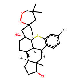 CC(=O)c1ccc2c(c1)S[C@]13CCC4(CC(C)(C)COO4)C[C@]1(O)CC[C@@H]1[C@@H]3[C@@H]2C[C@]2(C)[C@@H](O)CC[C@@H]12